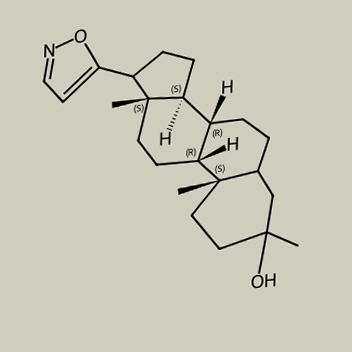 CC1(O)CC[C@@]2(C)C(CC[C@@H]3[C@H]2CC[C@]2(C)C(c4ccno4)CC[C@@H]32)C1